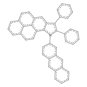 c1ccc(-c2c(-c3ccccc3)n(-c3ccc4cc5ccccc5cc4c3)c3c2cc2ccc4cccc5ccc3c2c45)cc1